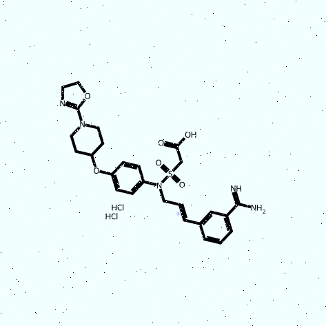 Cl.Cl.N=C(N)c1cccc(/C=C/CN(c2ccc(OC3CCN(C4=NCCO4)CC3)cc2)S(=O)(=O)CC(=O)O)c1